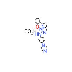 CN1CCN(c2ccc(Nc3ncc4ccc(-c5ccccc5OCC(=O)O)n4n3)cc2)CC1